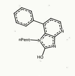 CCCCCn1c(O)nc2nccc(-c3ccccc3)c21